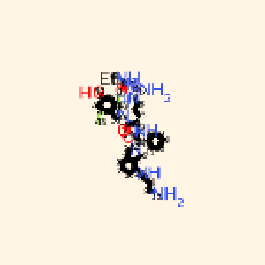 CCNC(=O)/N=C(/N)NCCC[C@@H](NC(=O)[C@H](c1ccccc1)N1Cc2cccc(NCCCN)c2C1)C(=O)NCc1c(F)cc(O)cc1F